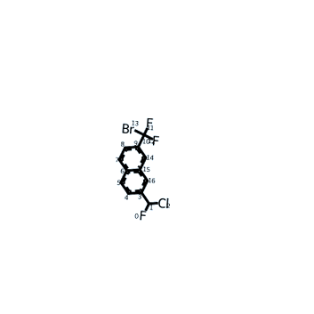 FC(Cl)c1ccc2ccc(C(F)(F)Br)cc2c1